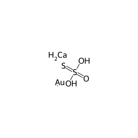 O=S(O)(O)=S.[Au].[CaH2]